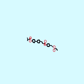 C=CC(=O)OCCc1ccc(OC(=O)/C=C/c2ccc(-c3ccc(OC(=O)C(=C)C)cc3)cc2)cc1